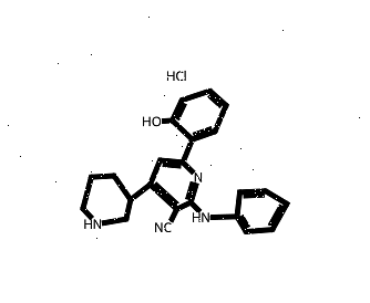 Cl.N#Cc1c(C2CCCNC2)cc(-c2ccccc2O)nc1Nc1ccccc1